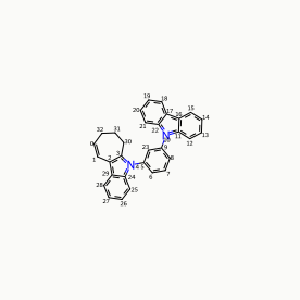 C1=Cc2c(n(-c3cccc(-n4c5ccccc5c5ccccc54)c3)c3ccccc23)CCC1